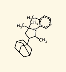 Cc1ccccc1N1[C@@H](C)C(C23CC4CC(CC(C4)C2)C3)CC1(C)C